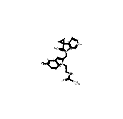 CC(=O)NCCn1c(CN2C(=O)C3(CC3)c3ccncc32)cc2cc(Cl)ccc21